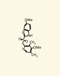 COc1ccc2[nH]c(S(=O)(=O)Cc3ncc(C)c(OC)c3C)nc2c1